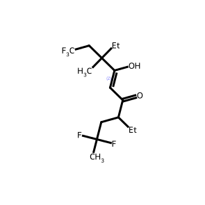 CCC(CC(C)(F)F)C(=O)/C=C(\O)C(C)(CC)CC(F)(F)F